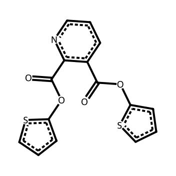 O=C(Oc1cccs1)c1cccnc1C(=O)Oc1cccs1